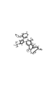 CC(F)(F)c1cc(-c2nc3c(Cl)c4ccc(Br)cc4cc3c(=O)o2)n(-c2ncccc2Cl)n1